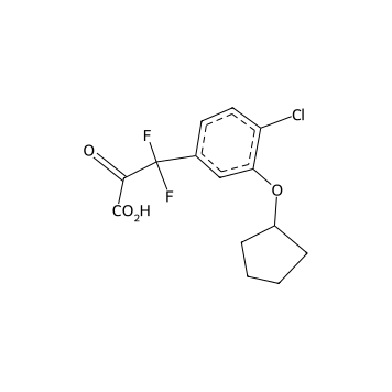 O=C(O)C(=O)C(F)(F)c1ccc(Cl)c(OC2CCCC2)c1